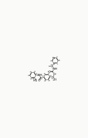 CC[C@H](OC(=O)N[C@@H](C)c1cccnc1)c1ccc(C(=O)Nc2ccccc2S)cc1